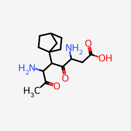 CC(=O)C(N)C(C(=O)C(N)CC(=O)O)C12CCC(CC1)C2